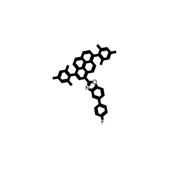 Cc1cc(C)c(-c2ccc3ccc4c(-c5c(C)cc(C)cc5C)cc(-c5nc6cc(-c7ccc(F)cc7)ccc6o5)c5ccc2c3c54)c(C)c1